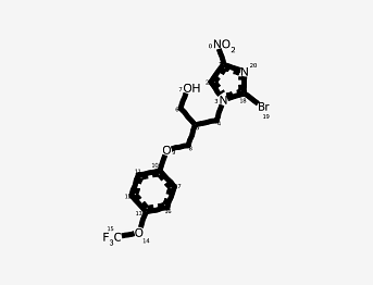 O=[N+]([O-])c1cn(CC(CO)COc2ccc(OC(F)(F)F)cc2)c(Br)n1